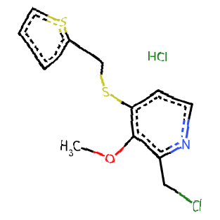 COc1c(SCc2cccs2)ccnc1CCl.Cl